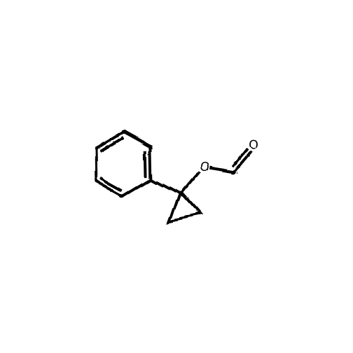 O=[C]OC1(c2ccccc2)CC1